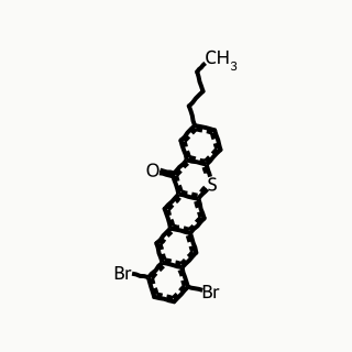 CCCCc1ccc2sc3cc4cc5c(Br)ccc(Br)c5cc4cc3c(=O)c2c1